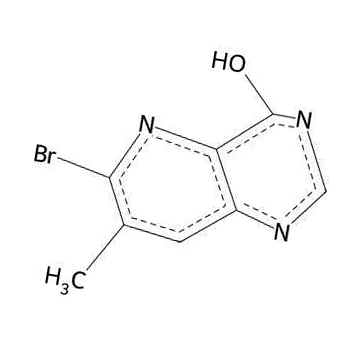 Cc1cc2ncnc(O)c2nc1Br